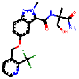 Cn1nc2ccc(OCc3cccnc3C(F)(F)F)cc2c1C(=O)NC(C)(CO)C(N)=O